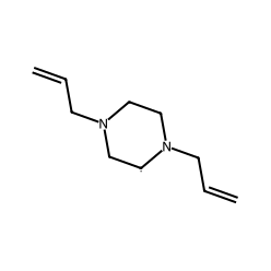 C=CCN1[CH]CN(CC=C)CC1